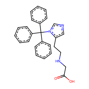 O=C(O)CNCCc1cncn1C(c1ccccc1)(c1ccccc1)c1ccccc1